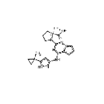 CC1(c2cc(Nc3nc(N4CCC[C@@]4(C)C(=O)O)nn4cccc34)n[nH]2)CC1